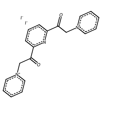 O=C(C[n+]1ccccc1)c1cccc(C(=O)C[n+]2ccccc2)n1.[I-].[I-]